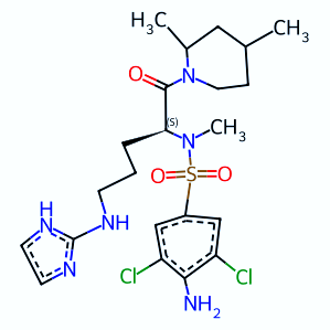 CC1CCN(C(=O)[C@H](CCCNc2ncc[nH]2)N(C)S(=O)(=O)c2cc(Cl)c(N)c(Cl)c2)C(C)C1